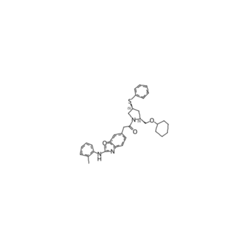 Cc1ccccc1Nc1nc2ccc(CC(=O)N3C[C@@H](Sc4ccccc4)C[C@H]3COC3CCCCC3)cc2o1